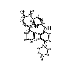 CN1CCN(c2ccc(Nc3ncc4c(n3)C(c3ccccc3)=NCC(=O)N4C)cc2)CC1